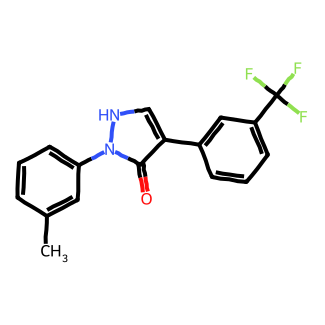 Cc1cccc(-n2[nH]cc(-c3cccc(C(F)(F)F)c3)c2=O)c1